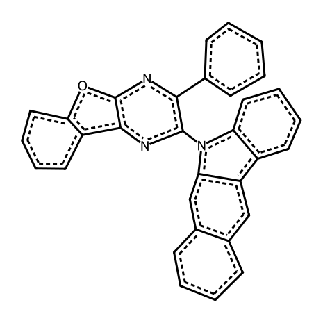 c1ccc(-c2nc3oc4ccccc4c3nc2-n2c3ccccc3c3cc4ccccc4cc32)cc1